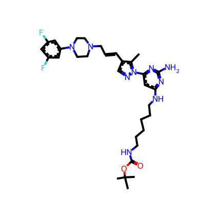 Cc1c(/C=C/CN2CCN(c3cc(F)cc(F)c3)CC2)cnn1-c1cc(NCCCCCCNC(=O)OC(C)(C)C)nc(N)n1